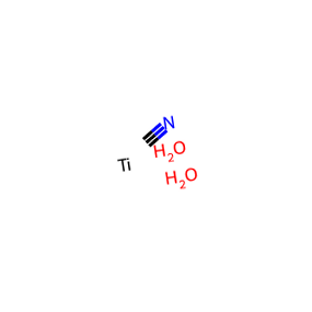 C#N.O.O.[Ti]